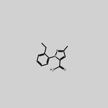 CCc1ccccc1-n1nc(C)cc1C(N)=O